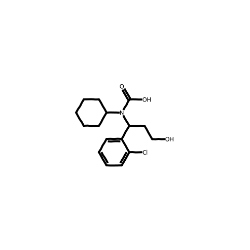 O=C(O)N(C1CCCCC1)C(CCO)c1ccccc1Cl